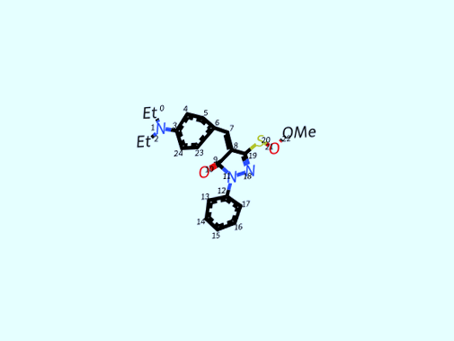 CCN(CC)c1ccc(/C=C2\C(=O)N(c3ccccc3)N=C2SOOC)cc1